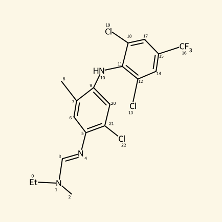 CCN(C)C=Nc1cc(C)c(Nc2c(Cl)cc(C(F)(F)F)cc2Cl)cc1Cl